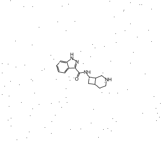 O=C(NC1CC2CCNCC21)c1n[nH]c2ccccc12